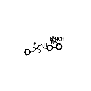 CC(C)[C@H](NCc1ccc(-c2ccccc2-c2nnnn2C)cc1)C(=O)OCc1ccccc1